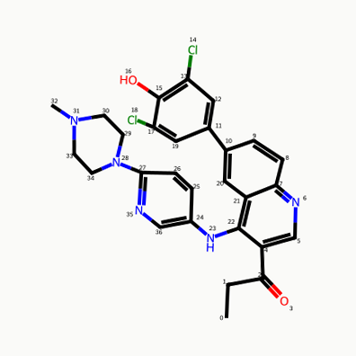 CCC(=O)c1cnc2ccc(-c3cc(Cl)c(O)c(Cl)c3)cc2c1Nc1ccc(N2CCN(C)CC2)nc1